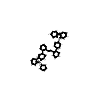 C(=C\c1ccccc1-c1ccc2c(c1)c1ccccc1n2-c1ccccc1)/c1ccccc1-c1ccc(-n2c3ccccc3c3ccccc32)cc1